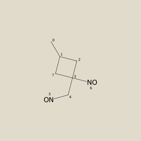 CC1CC(CN=O)(N=O)C1